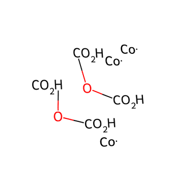 O=C(O)OC(=O)O.O=C(O)OC(=O)O.[Co].[Co].[Co]